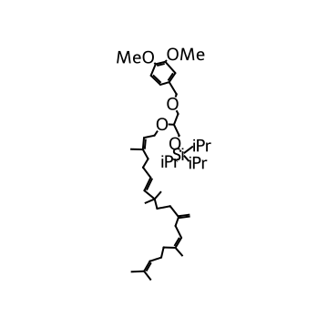 C=C(CC=C(C)CCC=C(C)C)CCC(C)(C)C=CCCC(C)=CCOC(COCc1ccc(OC)c(OC)c1)CO[Si](C(C)C)(C(C)C)C(C)C